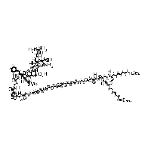 CCCCCCCCCCCCCCCCCC(=O)NCCN(CCNC(=O)CCCCCCCCCCCCCCCCC)CCNC(=O)CCOCCOCCOCCOCCOCCOCCOCCOCCOCCC(=O)NC(C)C(=O)NC(CS)C(=O)NCCC(=O)CNC(Cc1ccccc1)C(=O)NC(CCSC)C(=O)NC(CC(=O)O)C(=O)NCC(=O)NC(CCCNC(N)N)C(=O)NC(CS)C(N)=O